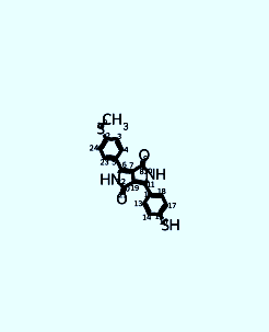 CSc1ccc(C2=C3C(=O)NC(c4ccc(S)cc4)=C3C(=O)N2)cc1